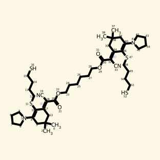 CC1(C)CC(N2CCCC2)=C(SCCCCS)/C(=C(\C#N)C(=O)OCCCCCCOC(=O)/C(C#N)=C2\CC(C)(C)CC(N3CCCC3)=C2SCCCCS)C1